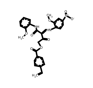 C=Cc1ccc(C(=O)OCC(=O)/C(=C\Nc2ccc([N+](=O)[O-])cc2OC)C(=O)Nc2ccccc2OC)cc1